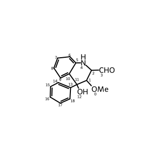 COC1C(C=O)Nc2ccccc2C1(O)c1ccccc1